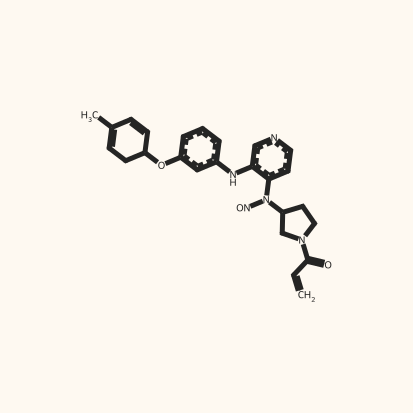 C=CC(=O)N1CCC(N(N=O)c2ccncc2Nc2cccc(OC3C=CC(C)=CC3)c2)C1